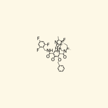 CC1=NO[C@@]2(CC[C@H](C)N3C[C@H]2n2cc(C(=O)NCc4c(F)cc(F)cc4F)c(=O)c(OCc4ccccc4)c2C3=O)[C@@H]1F